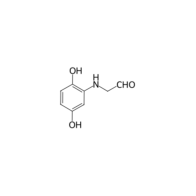 O=CCNc1cc(O)ccc1O